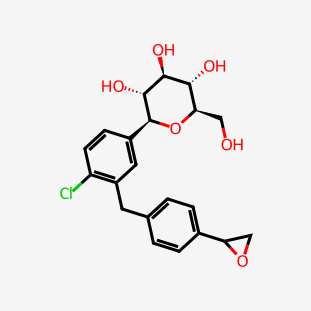 OC[C@H]1O[C@@H](c2ccc(Cl)c(Cc3ccc(C4CO4)cc3)c2)[C@H](O)[C@@H](O)[C@@H]1O